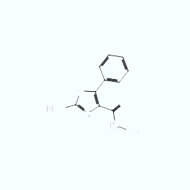 Cc1nc(C(=O)NC(C)(C)C)c(-c2ccccc2)o1